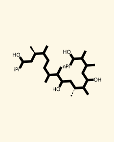 CCCC(O)C(C)C(C)CC(O)C(C)[C@H](C)CC(O)C(C)C(C)CCC(C)[C@H](C)CC(O)C(C)C